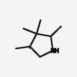 C[C]1CNC(C)C1(C)C